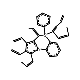 C=C/C=C(\C=C/C)S1(c2ccccc2)/C(=C/C)c2c(C=C)c(C=C)c(/C=C\C)n2-c2ccccc21